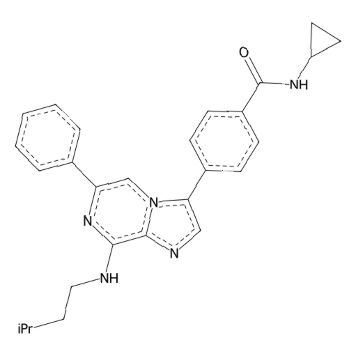 CC(C)CCNc1nc(-c2ccccc2)cn2c(-c3ccc(C(=O)NC4CC4)cc3)cnc12